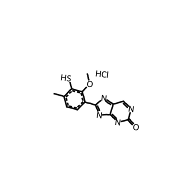 COc1c(C2=NC3=NC(=O)N=CC3=N2)ccc(C)c1S.Cl